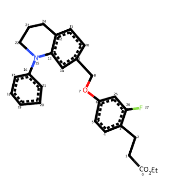 CCOC(=O)CCc1ccc(OCc2ccc3c(c2)N(c2ccccc2)CCC3)cc1F